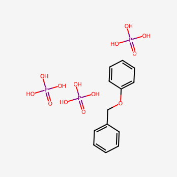 O=P(O)(O)O.O=P(O)(O)O.O=P(O)(O)O.c1ccc(COc2ccccc2)cc1